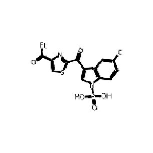 CCC(=O)c1csc(C(=O)c2cn(P(=O)(O)O)c3ccc(Cl)cc23)n1